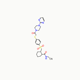 N#CCNC(=O)C1CCCCC1CS(=O)(=O)c1ccc(SCC(=O)N2CCN(c3ncccn3)CC2)cc1